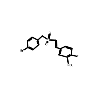 O=[N+]([O-])c1cc(C=CS(=O)(=O)Cc2ccc(Br)cc2)ccc1F